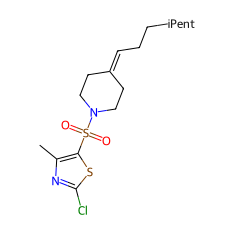 CCCC(C)CCC=C1CCN(S(=O)(=O)c2sc(Cl)nc2C)CC1